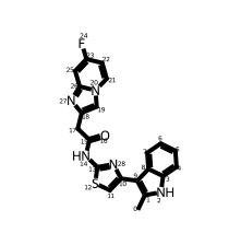 Cc1[nH]c2ccccc2c1-c1csc(NC(=O)Cc2cn3ccc(F)cc3n2)n1